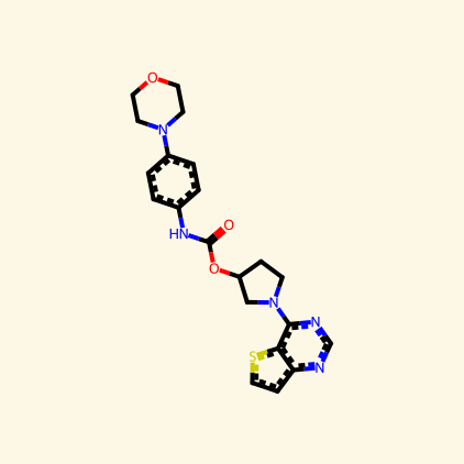 O=C(Nc1ccc(N2CCOCC2)cc1)OC1CCN(c2ncnc3ccsc23)C1